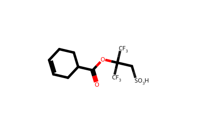 O=C(OC(CS(=O)(=O)O)(C(F)(F)F)C(F)(F)F)C1CC=CCC1